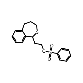 O=S(=O)(OCCC1SCCCc2ccccc21)c1ccccc1